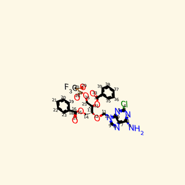 Nc1nc(Cl)nc2c1ncn2CO[C@H](COC(=O)c1ccccc1)C(COS(=O)(=O)C(F)(F)F)OC(=O)c1ccccc1